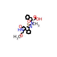 COCCc1[nH]c(=O)ccc1-c1ccccc1-c1csc(N(C)C(=O)[C@@H](CC(=O)O)Cc2ccccc2)n1